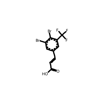 O=C(O)/C=C/c1cc(Br)c(Br)c(C(F)(F)F)c1